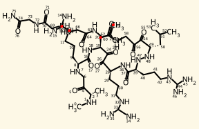 CN[C@@H](C)C(=O)CN[C@@H](CCCNC(N)N)C(=O)N[C@@H](CC(C)C)C(=O)C(=O)[C@H](CCCNC(N)N)NC(=O)[C@H](CCCNC(N)N)NN[C@@H](CC(C)C)C(=O)C(=O)CNC(=O)CNC(=O)CNNCC(=O)NCC(N)=O